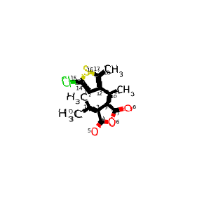 CC(C)=C1C(=O)OC(=O)/C1=C(\C)c1cc(Cl)sc1C